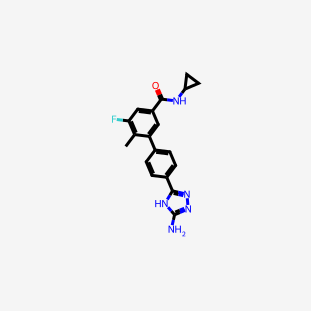 Cc1c(F)cc(C(=O)NC2CC2)cc1-c1ccc(-c2nnc(N)[nH]2)cc1